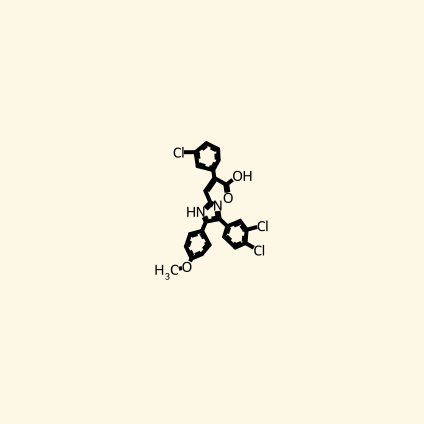 COc1ccc(-c2[nH]c(/C=C(\C(=O)O)c3cccc(Cl)c3)nc2-c2ccc(Cl)c(Cl)c2)cc1